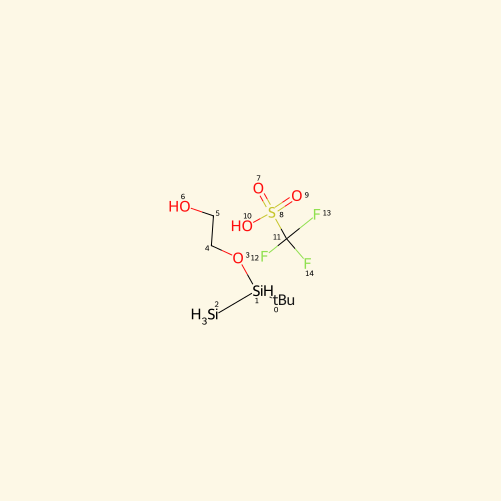 CC(C)(C)[SiH]([SiH3])OCCO.O=S(=O)(O)C(F)(F)F